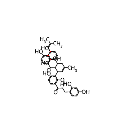 CC(C)=CCc1c(O)ccc(C(=O)C2C(c3c(O)ccc(C(=O)CCc4ccc(O)cc4O)c3O)C=C(C)CC2c2ccc(O)cc2O)c1O